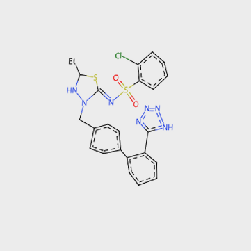 CCC1NN(Cc2ccc(-c3ccccc3-c3nnn[nH]3)cc2)C(=NS(=O)(=O)c2ccccc2Cl)S1